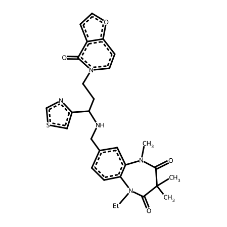 CCN1C(=O)C(C)(C)C(=O)N(C)c2cc(CNC(CCn3ccc4occc4c3=O)c3cscn3)ccc21